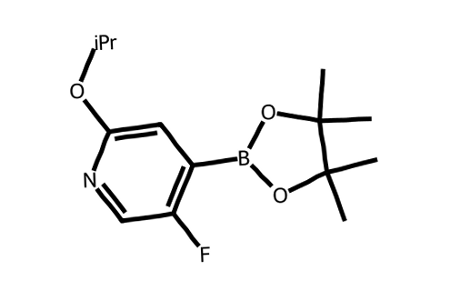 CC(C)Oc1cc(B2OC(C)(C)C(C)(C)O2)c(F)cn1